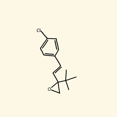 CC(C)(C)C1(C=Cc2ccc(Cl)cc2)CO1